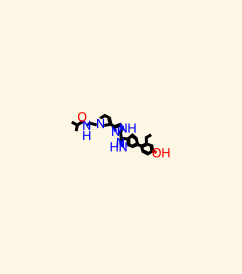 CCc1cc(O)ccc1-c1ccc2c(-c3nc(C4=CCCN(CCNC(=O)C(C)C)C4)c[nH]3)n[nH]c2c1